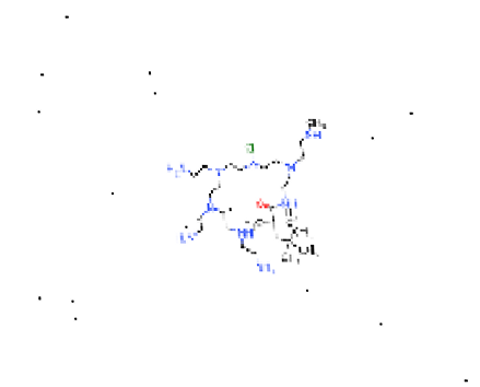 CNCCN(CCNC(=O)C(C)(C)CC(C)(C)C)CCN(Cl)CCN(CCN)CCN(CCN)CCNCCN